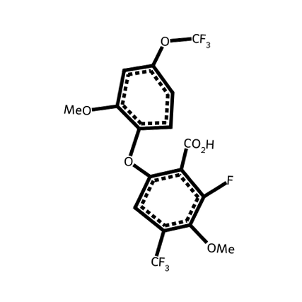 COc1cc(OC(F)(F)F)ccc1Oc1cc(C(F)(F)F)c(OC)c(F)c1C(=O)O